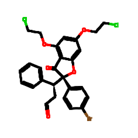 O=CC[C@H](c1ccccc1)[C@@]1(c2ccc(Br)cc2)Oc2cc(OCCCl)cc(OCCCl)c2C1=O